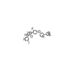 CCc1cncc(NC(=O)Nc2ccc(Oc3ccnc(-c4cnn(C)c4)c3)cc2F)c1